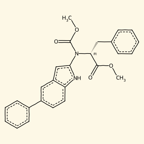 COC(=O)[C@@H](Cc1ccccc1)N(C(=O)OC)c1cc2cc(-c3ccccc3)ccc2[nH]1